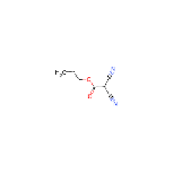 CCCOC(=O)C(C#N)C#N